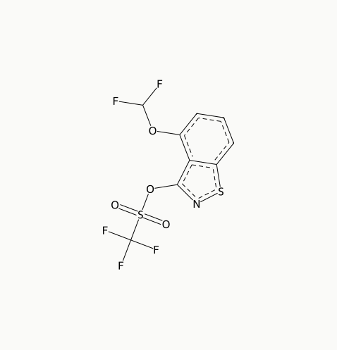 O=S(=O)(Oc1nsc2cccc(OC(F)F)c12)C(F)(F)F